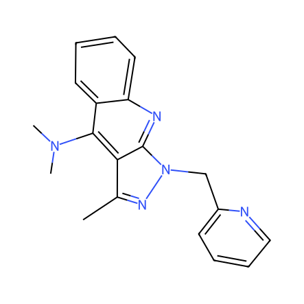 Cc1nn(Cc2ccccn2)c2nc3ccccc3c(N(C)C)c12